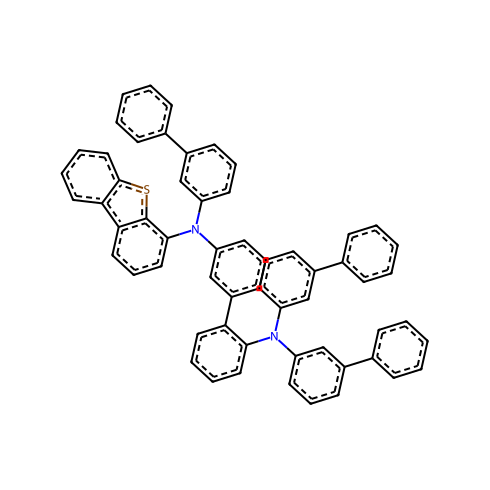 c1ccc(-c2cccc(N(c3cccc(-c4ccccc4)c3)c3ccccc3-c3cccc(N(c4cccc(-c5ccccc5)c4)c4cccc5c4sc4ccccc45)c3)c2)cc1